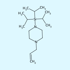 C=CCN1CCN([Si](C(C)C)(C(C)C)C(C)C)CC1